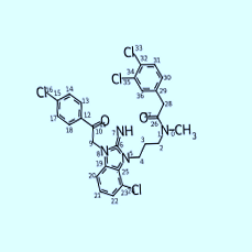 CN(CCCn1c(=N)n(CC(=O)c2ccc(Cl)cc2)c2cccc(Cl)c21)C(=O)Cc1ccc(Cl)c(Cl)c1